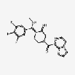 CN/C(=C1/CCN(C(=O)c2nccn3cccc23)CC1=N)c1cc(F)c(F)c(F)c1